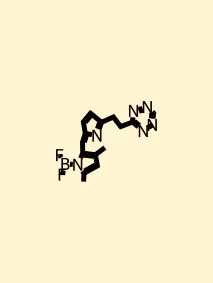 Cc1cc(C)n(B(F)F)c1/C=C1/C=CC(CCc2nncnn2)=N1